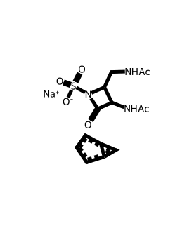 CC(=O)NCC1C(NC(C)=O)C(=O)N1S(=O)(=O)[O-].[Na+].c1cc2cc-2c1